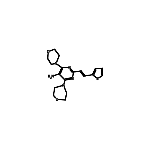 Nc1c(N2CCOCC2)nc(C=Cc2cccs2)nc1N1CCOCC1